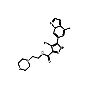 Cc1cc(-c2[nH]nc(C(=O)NCCN3CCOCC3)c2C(C)C)cn2ncnc12